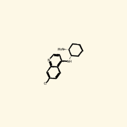 CN[C@@H]1CCCC[C@@H]1Nc1ccnc2cc(Cl)ccc12